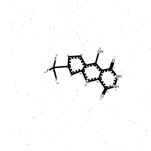 O=c1[nH][nH]c(=O)c2c(O)c3ccc(C(F)(F)F)cc3nc12